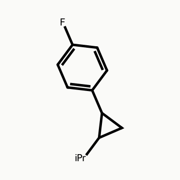 CC(C)C1CC1c1ccc(F)cc1